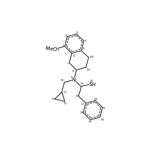 COc1cccc2c1CC(N(CC1CC1)C(S)Cc1ccccc1)CC2